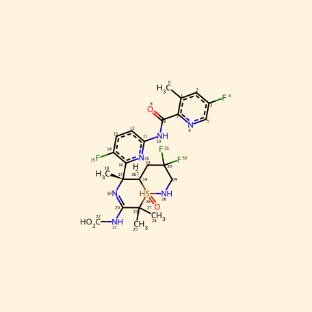 Cc1cc(F)cnc1C(=O)Nc1ccc(F)c([C@@]2(C)N=C(NC(=O)O)C(C)(C)[SH]3(=O)NCC(F)(F)C[C@H]23)n1